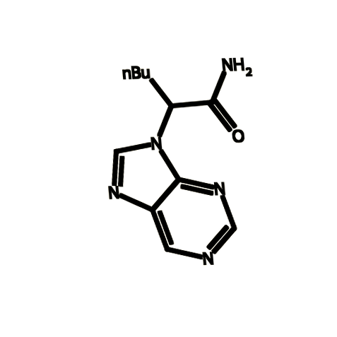 CCCCC(C(N)=O)n1cnc2cncnc21